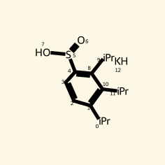 CC(C)c1ccc(S(=O)O)c(C(C)C)c1C(C)C.[KH]